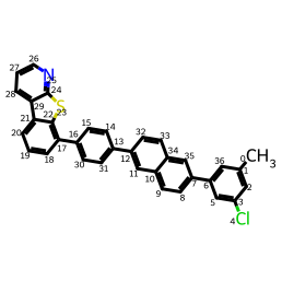 Cc1cc(Cl)cc(-c2ccc3cc(-c4ccc(-c5cccc6c5sc5ncccc56)cc4)ccc3c2)c1